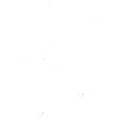 COC(COC(=O)c1cccc(Cl)c1)OC